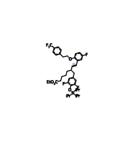 CCOC(=O)CCCCC(/C=C/c1cc(F)ccc1OCCc1ccc(C(F)(F)F)cc1)Cc1cc(F)c(O[Si](C(C)C)(C(C)C)C(C)C)c(F)c1